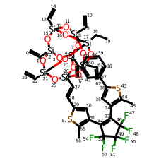 C=C[Si]12O[Si]3(C=C)O[Si]4(C=C)O[Si](C=C)(O1)O[Si]1(CC)O[Si](C=C)(O2)O[Si](/C=C/c2cc(C5=C(c6cc(-c7ccccc7)sc6C)C(F)(F)C(F)(F)C5(F)F)c(C)s2)(O3)O[Si](C=C)(O4)O1